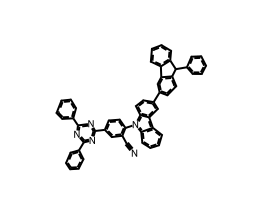 N#Cc1cc(-c2nc(-c3ccccc3)nc(-c3ccccc3)n2)ccc1-n1c2ccccc2c2cc(-c3ccc4c(c3)-c3ccccc3C4c3ccccc3)ccc21